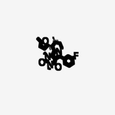 Cc1ccc([C@@H]2c3c4c(c(-c5cccc(F)c5)n3CC[C@H]2C)c(=O)n(C)c(=O)n4C)o1